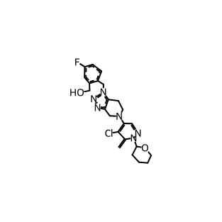 C=C1C(Cl)=C(N2CCc3c(nnn3Cc3ccc(F)cc3CO)C2)C=NN1C1CCCCO1